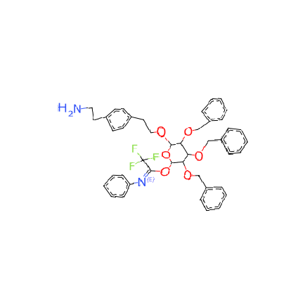 NCCc1ccc(CCOC2OC(O/C(=N/c3ccccc3)C(F)(F)F)C(OCc3ccccc3)C(OCc3ccccc3)C2OCc2ccccc2)cc1